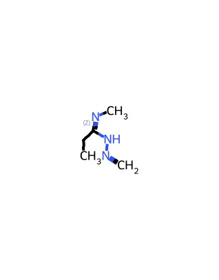 C=NN/C(CC)=N\C